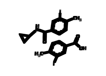 Cc1ccc(C(=O)NC2CC2)cc1I.Cc1ccc(C(=O)O)cc1I